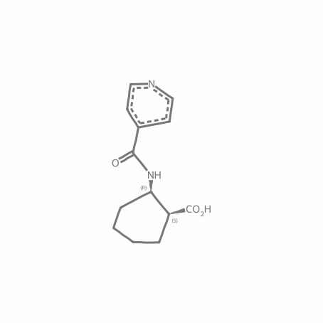 O=C(N[C@@H]1CCCC[C@@H]1C(=O)O)c1ccncc1